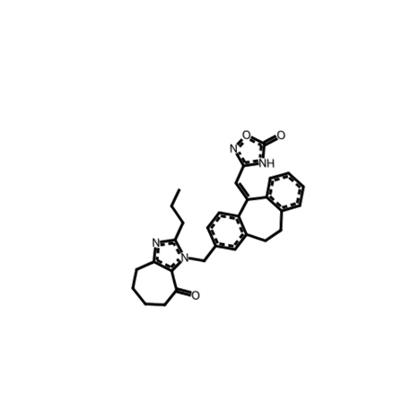 CCCc1nc2c(n1Cc1ccc3c(c1)CCc1ccccc1C3=Cc1noc(=O)[nH]1)C(=O)CCCC2